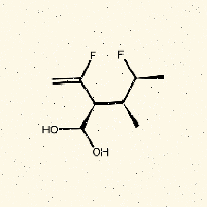 C=C(F)[C@H](C(O)O)[C@H](C)[C@H](C)F